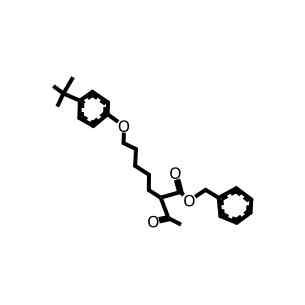 CC(=O)C(CCCCCOc1ccc(C(C)(C)C)cc1)C(=O)OCc1ccccc1